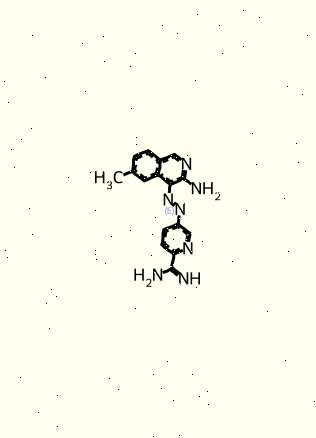 Cc1ccc2cnc(N)c(/N=N/c3ccc(C(=N)N)nc3)c2c1